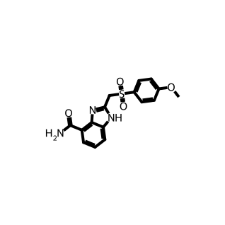 COc1ccc(S(=O)(=O)Cc2nc3c(C(N)=O)cccc3[nH]2)cc1